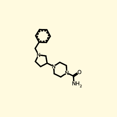 NC(=O)N1CCN(C2CCN(Cc3ccccc3)C2)CC1